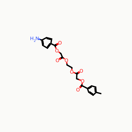 Cc1ccc(C(=O)OCC(=O)OCCOC(=O)COC(=O)c2ccc(N)cc2)cc1